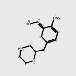 COC1=CC=C(C[C@@H]2CNCCO2)CC1=NO